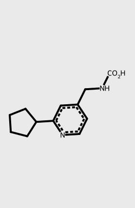 O=C(O)NCc1ccnc(C2CCCC2)c1